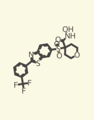 O=C(NO)C1(S(=O)(=O)c2ccc3nc(-c4cccc(C(F)(F)F)c4)sc3c2)CCOCC1